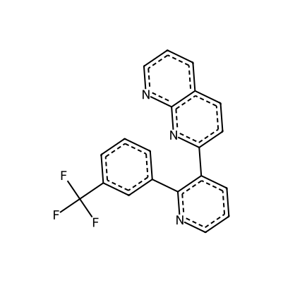 FC(F)(F)c1cccc(-c2ncccc2-c2ccc3cccnc3n2)c1